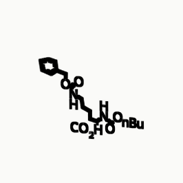 CCCCOC(=O)N[C@@H](CCCCNC(=O)OCc1ccccc1)C(=O)O